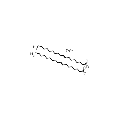 CCCCCCCCCC=CCCCCCCC(=O)[O-].CCCCCCCCCC=CCCCCCCC(=O)[O-].[Zn+2]